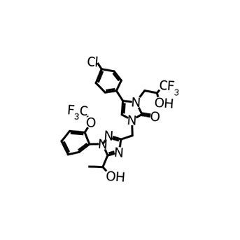 CC(O)c1nc(Cn2cc(-c3ccc(Cl)cc3)n(CC(O)C(F)(F)F)c2=O)nn1-c1ccccc1OC(F)(F)F